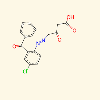 O=C(O)CC(=O)CN=Nc1ccc(Cl)cc1C(=O)c1ccccc1